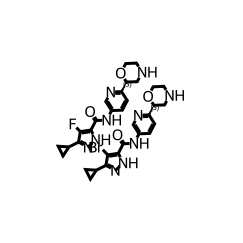 O=C(Nc1ccc([C@@H]2CNCCO2)nc1)c1[nH]nc(C2CC2)c1Br.O=C(Nc1ccc([C@@H]2CNCCO2)nc1)c1[nH]nc(C2CC2)c1F